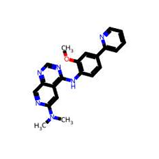 COc1cc(-c2ccccn2)ccc1Nc1ncnc2cnc(N(C)C)cc12